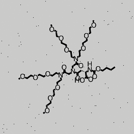 CCCCOC(=O)N[C@@H](CC(=O)N(CC(=O)N(CCOCCOCCOC)CCOCCOCCOC)CC(=O)N(CCOCCOCCOC)CCOCCOCCOC)C(=O)O